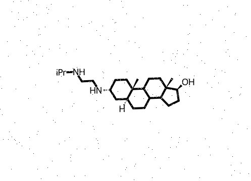 CC(C)NCCN[C@@H]1CC[C@]2(C)C3CC[C@@]4(C)C(CC[C@@H]4O)C3CC[C@H]2C1